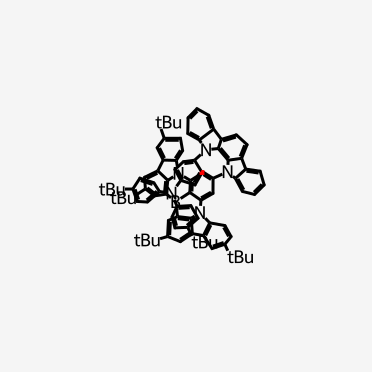 CC(C)(C)c1ccc(N(c2ccc(-n3c4ccccc4c4ccc5c6ccccc6n(-c6cc7c8c(c6)-n6c9ccc(C(C)(C)C)cc9c9cc(C(C)(C)C)cc(c96)B8c6cc(C(C)(C)C)cc8c9cc(C(C)(C)C)ccc9n-7c68)c5c43)cc2)c2ccc(C(C)(C)C)cc2)cc1